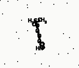 CCC(C)C(=O)OCCOCCOCCOc1ccc2cc[nH]c2c1